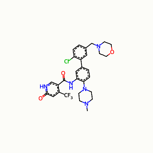 CN1CCN(c2ccc(-c3cc(CN4CCOCC4)ccc3Cl)cc2NC(=O)c2c[nH]c(=O)cc2C(F)(F)F)CC1